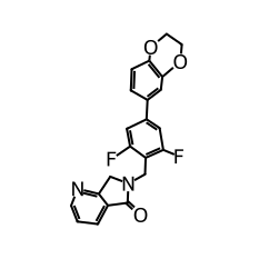 O=C1c2cccnc2CN1Cc1c(F)cc(-c2ccc3c(c2)OCCO3)cc1F